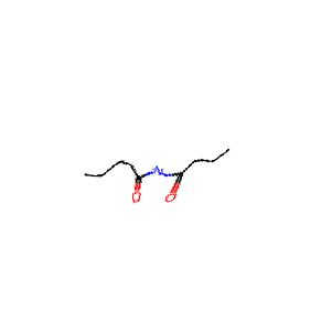 CCCC(=O)[N]C(=O)CCC